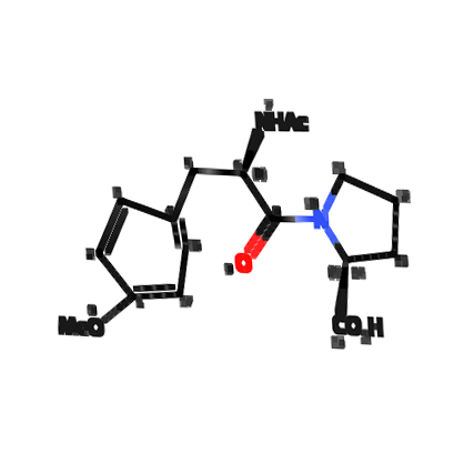 COc1ccc(C[C@@H](NC(C)=O)C(=O)N2CCC[C@H]2C(=O)O)cc1